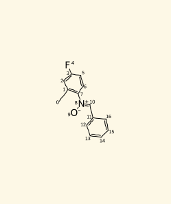 Cc1cc(F)ccc1[N+]([O-])=Cc1ccccc1